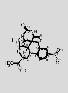 CC(C)[C@@H]1CN2c3ccc([N+](=O)[O-])cc3CC3(C(=O)NC(=O)NC3=O)[C@H]2[C@H](C)O1